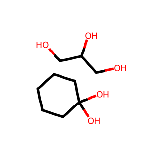 OC1(O)CCCCC1.OCC(O)CO